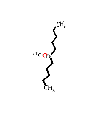 CCCCC[Te]CCCCC.[O].[Te]